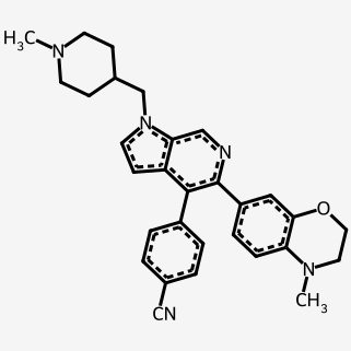 CN1CCC(Cn2ccc3c(-c4ccc(C#N)cc4)c(-c4ccc5c(c4)OCCN5C)ncc32)CC1